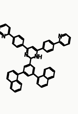 C1=C(c2ccc(-c3ccccn3)cc2)NC(c2cc(-c3cccc4ccccc34)cc(-c3cccc4ccccc34)c2)N=C1c1ccc(-c2ccccn2)cc1